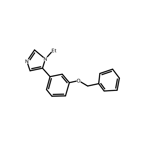 CCn1cncc1-c1cccc(OCc2ccccc2)c1